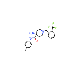 CCc1ccc(NC(=O)C2(N)CCN(Cc3ccccc3C(F)(F)F)CC2)cc1